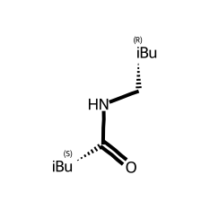 CC[C@@H](C)CNC(=O)[C@@H](C)CC